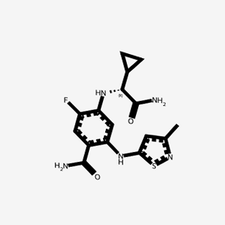 Cc1cc(Nc2cc(N[C@@H](C(N)=O)C3CC3)c(F)cc2C(N)=O)sn1